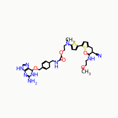 COCCNC(=O)C(C#N)Cc1ccc(-c2ccc(N(C)CCOC3OC3NCC3C=CC(COC4NC(N)=Nc5[nH]cnc54)=CC3)s2)s1